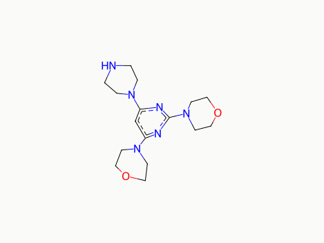 c1c(N2CCNCC2)nc(N2CCOCC2)nc1N1CCOCC1